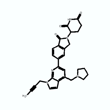 CC#CCn1ccc2c(CN3CCCC3)cc(-c3ccc4c(c3)CN(C3CCC(=O)NC3=O)C4=O)nc21